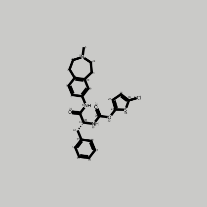 CN1CCc2ccc(NC(=O)[C@@H](Cc3ccccc3)NC(=O)Oc3ccc(Cl)s3)cc2CC1